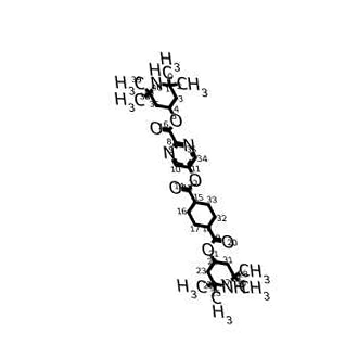 CC1(C)CC(OC(=O)c2ncc(OC(=O)C3CCC(C(=O)OC4CC(C)(C)NC(C)(C)C4)CC3)cn2)CC(C)(C)N1